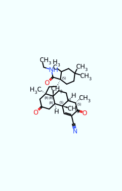 CCNC(=O)[C@]1(CC[C@]2(C)CC(=O)C[C@@H]3[C@@]4(C)C=C(C#N)C(=O)[C@@H](C)[C@@H]4CC[C@]32C)CCC(C)(C)CC1C